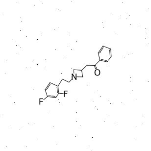 O=C(CC1CN(CCc2ccc(F)cc2F)C1)c1ccccc1